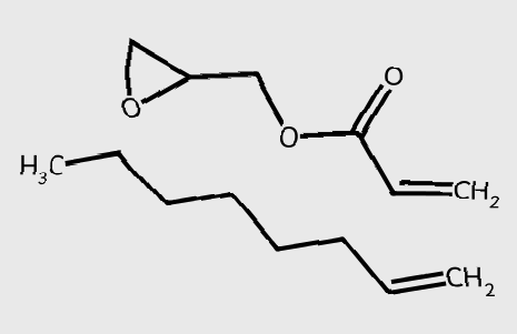 C=CC(=O)OCC1CO1.C=CCCCCCC